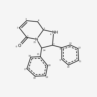 O=C1C=CCC2NC(c3ccccc3)C(c3ccccc3)N12